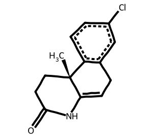 C[C@]12CCC(=O)NC1=CCc1cc(Cl)ccc12